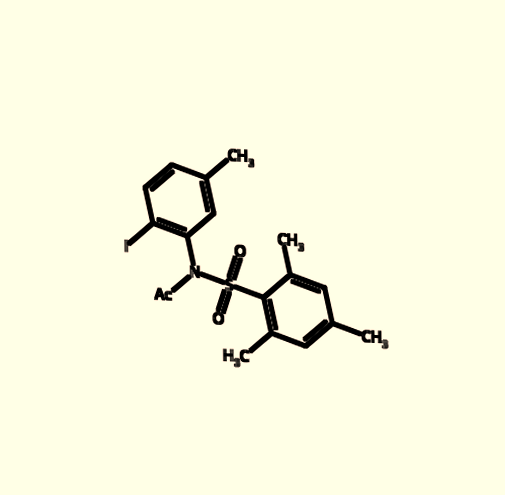 CC(=O)N(c1cc(C)ccc1I)S(=O)(=O)c1c(C)cc(C)cc1C